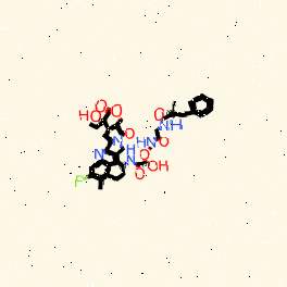 CC[C@@]1(O)C(=O)OCc2c1cc1n(c2=O)Cc2c-1nc1cc(F)c(C)c3c1c2[C@@H](NC(=O)[C@@H](O)OCNC(=O)CNC(=O)[C@@H](C)Cc1ccccc1)CC3